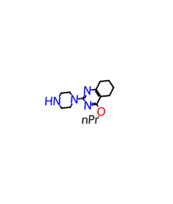 CCCOc1nc(N2CCNCC2)nc2c1CCCC2